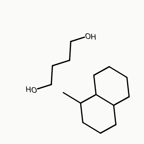 CC1CCCC2CCCCC12.OCCCCO